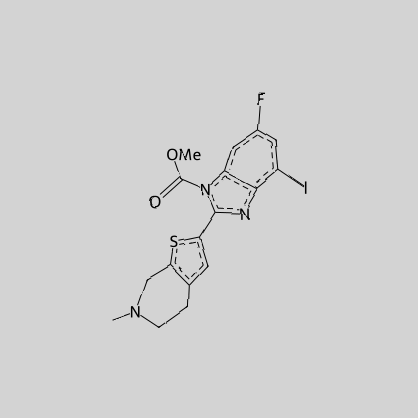 COC(=O)n1c(-c2cc3c(s2)CN(C)CC3)nc2c(I)cc(F)cc21